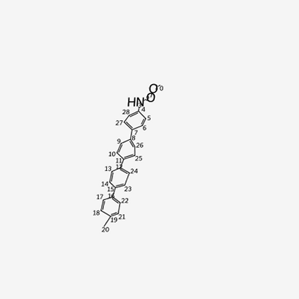 COONc1ccc(-c2ccc(-c3ccc(-c4ccc(C)cc4)cc3)cc2)cc1